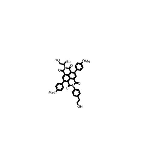 CCC(C)C(CO)N1C(=O)c2cc(-c3ccc(OC)cc3)c3c4c(cc(-c5ccc(OC)cc5)c(c24)C1=O)C(=O)N(c1ccc(CCO)cc1)C3=O